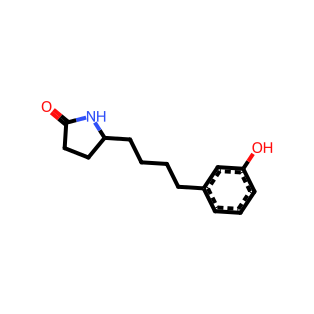 O=C1CCC(CCCCc2cccc(O)c2)N1